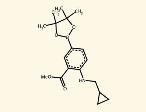 COC(=O)c1cc(B2OC(C)(C)C(C)(C)O2)ccc1NCC1CC1